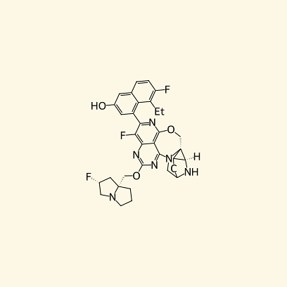 CCc1c(F)ccc2cc(O)cc(-c3nc4c5c(nc(OC[C@]67CCCN6C[C@H](F)C7)nc5c3F)N3CC5CC6[C@H](N5)[C@@]63CO4)c12